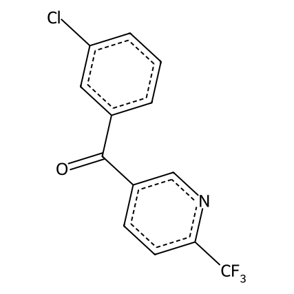 O=C(c1ccc(C(F)(F)F)nc1)c1cccc(Cl)c1